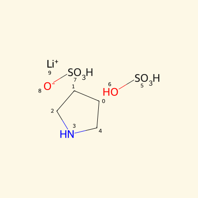 C1CCNC1.O=S(=O)(O)O.O=S(=O)([O-])O.[Li+]